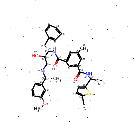 COc1cccc([C@@H](C)NC[C@@H](O)[C@H](Cc2ccccc2)NC(=O)c2cc(C)cc(C(=O)NC(C)c3ccc(C)s3)c2)c1